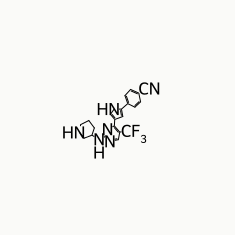 N#Cc1ccc(-c2cc(-c3nc(NC4CCCNC4)ncc3C(F)(F)F)c[nH]2)cc1